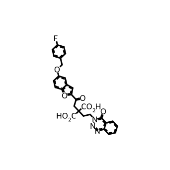 O=C(CC(CCn1nnc2ccccc2c1=O)(C(=O)O)C(=O)O)c1cc2cc(OCc3ccc(F)cc3)ccc2o1